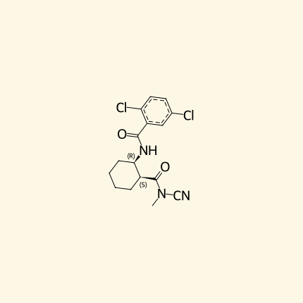 CN(C#N)C(=O)[C@H]1CCCC[C@H]1NC(=O)c1cc(Cl)ccc1Cl